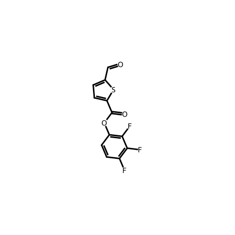 O=Cc1ccc(C(=O)Oc2ccc(F)c(F)c2F)s1